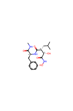 CNC(=O)[C@H](Cc1ccccc1)NC(=O)[C@H](CC(C)C)[C@H](O)C(=O)NO